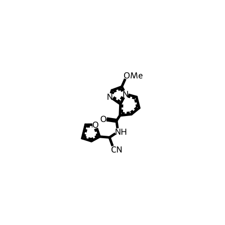 COc1cnc2c(C(=O)NC(C#N)c3ccco3)cccn12